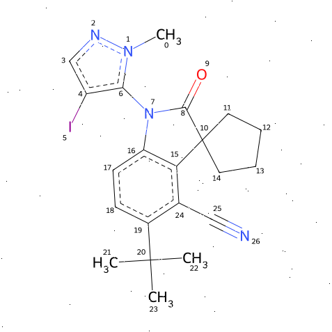 Cn1ncc(I)c1N1C(=O)C2(CCCC2)c2c1ccc(C(C)(C)C)c2C#N